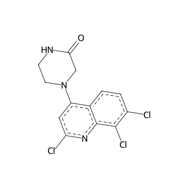 O=C1CN(c2cc(Cl)nc3c(Cl)c(Cl)ccc23)CCN1